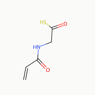 C=CC(=O)NCC(=O)S